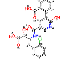 O=C(N[C@H](Cc1ccccc1Cl)[C@@H](O)C(=O)O)c1cnc(O)c(-c2ccccc2C(=O)O)c1